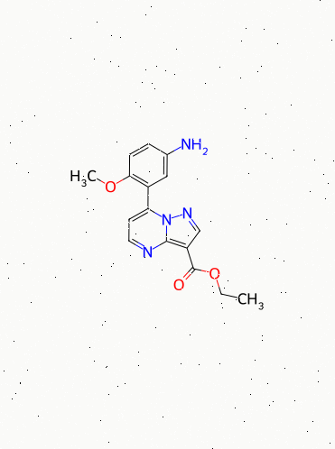 CCOC(=O)c1cnn2c(-c3cc(N)ccc3OC)ccnc12